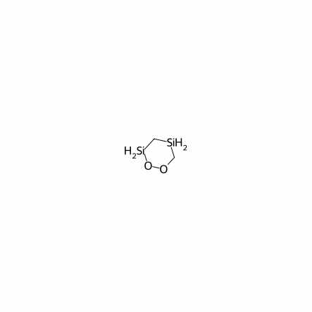 C1OO[SiH2]C[SiH2]1